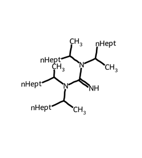 CCCCCCCC(C)N(C(=N)N(C(C)CCCCCCC)C(C)CCCCCCC)C(C)CCCCCCC